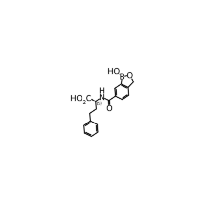 O=C(N[C@@H](CCc1ccccc1)C(=O)O)c1ccc2c(c1)B(O)OC2